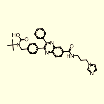 CC(C)(C)N(Cc1ccc(-c2nc3ccc(C(=O)NCCCn4ccnc4)cc3nc2-c2ccccc2)cc1)C(=O)O